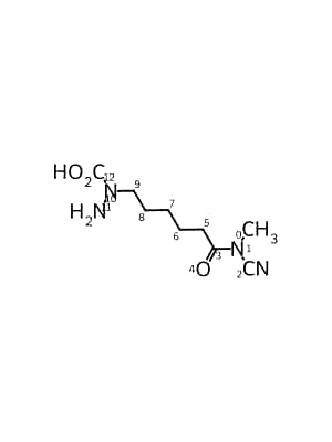 CN(C#N)C(=O)CCCCCN(N)C(=O)O